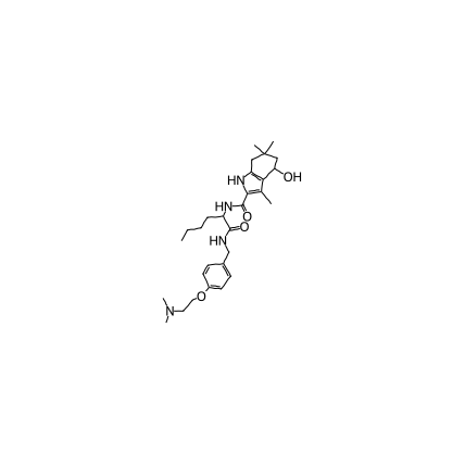 CCCCC(NC(=O)c1[nH]c2c(c1C)C(O)CC(C)(C)C2)C(=O)NCc1ccc(OCCN(C)C)cc1